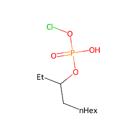 CCCCCCCC(CC)OP(=O)(O)OCl